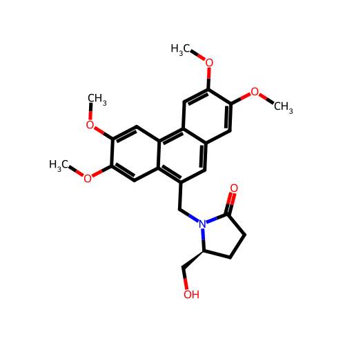 COc1cc2cc(CN3C(=O)CC[C@H]3CO)c3cc(OC)c(OC)cc3c2cc1OC